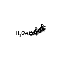 CCCCC[C@H]1CC[C@H](c2cc(F)c(-c3ccc4c(F)c(F)c(F)cc4c3)c(F)c2)CC1